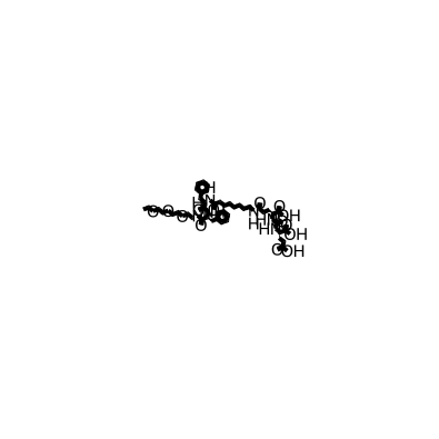 CCOCCOCCOCCNC(=O)[C@H](Cc1ccccc1)NC(=O)C(Cc1ccccc1)NC(=O)CCCCCCCNC(=O)CC[C@H](NC(=O)N[C@@H](CCC(=O)O)C(=O)O)C(=O)O